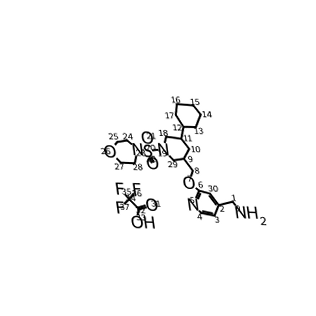 NCc1ccnc(OCC2CC(C3CCCCC3)CN(S(=O)(=O)N3CCOCC3)C2)c1.O=C(O)C(F)(F)F